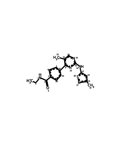 CCNC(=O)c1ccc(-c2nc(Nc3cc(C)ns3)ncc2C)cc1